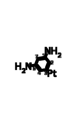 Nc1cccc(N)c1.[Pt]